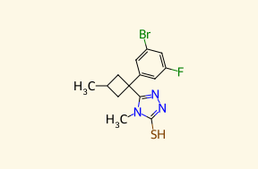 CC1CC(c2cc(F)cc(Br)c2)(c2nnc(S)n2C)C1